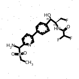 CCS(=O)(=O)C(N)c1ccc(-c2ccc([C@@H](O)[C@@H](CF)NC(=O)C(F)F)cc2)cn1